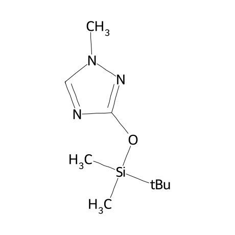 Cn1cnc(O[Si](C)(C)C(C)(C)C)n1